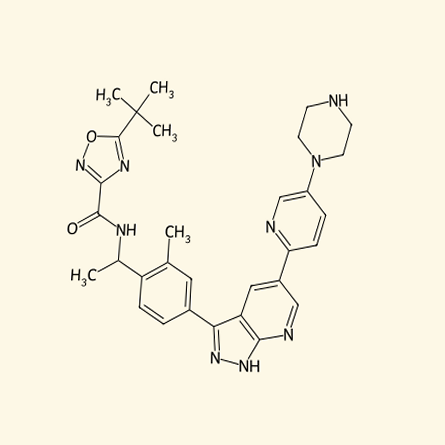 Cc1cc(-c2n[nH]c3ncc(-c4ccc(N5CCNCC5)cn4)cc23)ccc1C(C)NC(=O)c1noc(C(C)(C)C)n1